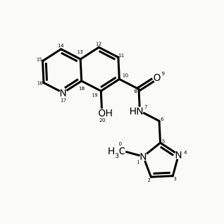 Cn1ccnc1CNC(=O)c1ccc2cccnc2c1O